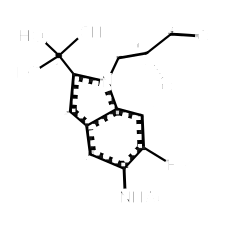 CC(=O)Nc1cc2cc(C(C)(C)O)n(C[C@@H](O)CO)c2cc1F